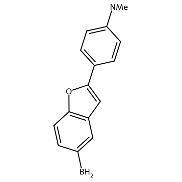 Bc1ccc2oc(-c3ccc(NC)cc3)cc2c1